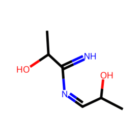 CC(O)/C=N\C(=N)C(C)O